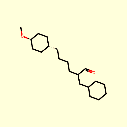 CO[C@H]1CC[C@H](CCCCC(C=O)CC2CCCCC2)CC1